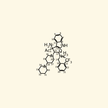 CC(=O)C(N)(c1c[nH]c2ccccc12)C(C(=O)N(C)Cc1ccccc1C(F)(F)F)N1CCC(N2CCCCC2)CC1